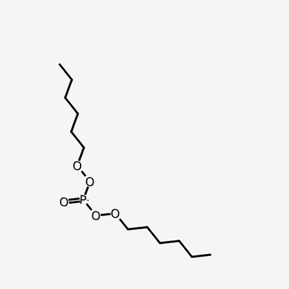 CCCCCCOO[P](=O)OOCCCCCC